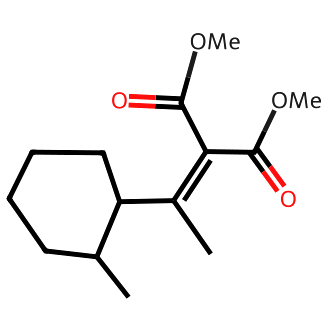 COC(=O)C(C(=O)OC)=C(C)C1CCCCC1C